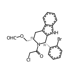 O=COC[C@@H]1Cc2c([nH]c3ccccc23)[C@H](c2ccccc2Br)N1C(=O)CCl